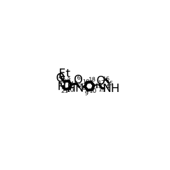 CCOc1cc(C(=O)Nc2ccc([C@@H]3CNCCO3)cc2)ccn1